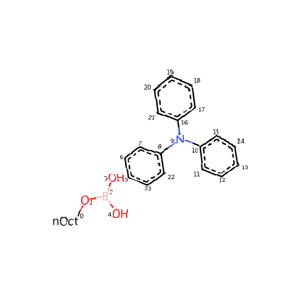 CCCCCCCCOB(O)O.c1ccc(N(c2ccccc2)c2ccccc2)cc1